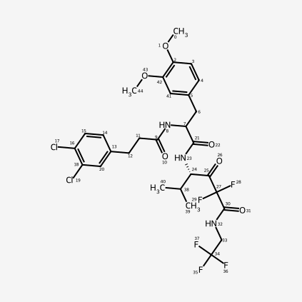 COc1ccc(CC(NC(=O)CCc2ccc(Cl)c(Cl)c2)C(=O)N[C@H](C(=O)C(F)(F)C(=O)NCC(F)(F)F)C(C)C)cc1OC